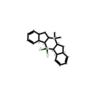 C[Si]1(C)C2CC3C=CC=CC3[CH]2[Zr]([Cl])([Cl])[CH]2C3C=CC=CC3CC21